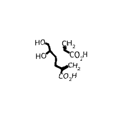 C=C(CCC(O)CO)C(=O)O.C=CC(=O)O